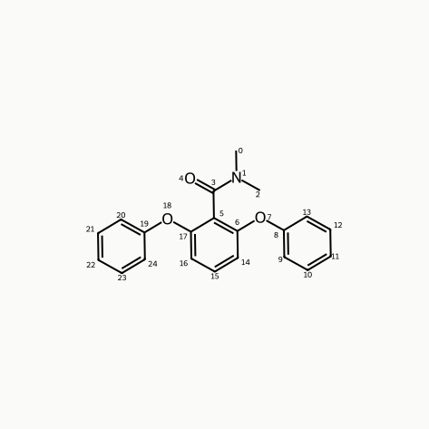 CN(C)C(=O)c1c(Oc2ccccc2)cccc1Oc1ccccc1